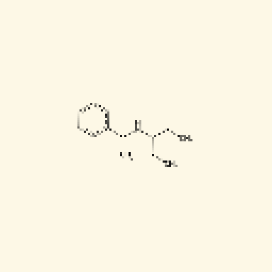 CCC(CC)N[C@H](C)c1ccccc1